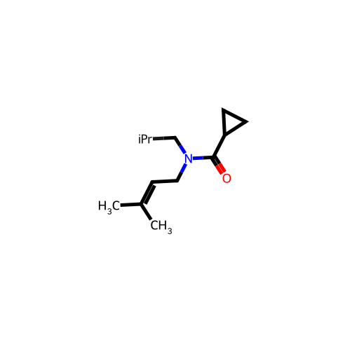 CC(C)=CCN(CC(C)C)C(=O)C1CC1